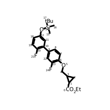 CCOC(=O)C1CC1COc1ccc(-c2cc(O[Si](C)(C)C(C)(C)C)ccc2F)cc1F